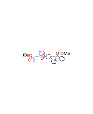 COc1ccccc1C(=O)NCC1(c2ccccc2)CCN(S(=O)(=O)NCCNC(=O)OC(C)(C)C)CC1